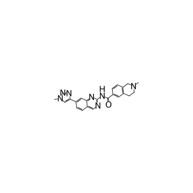 CN1CCc2cc(C(=O)Nc3ncc4ccc(-c5cn(C)nn5)cc4n3)ccc2C1